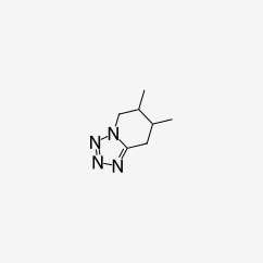 CC1Cc2nnnn2CC1C